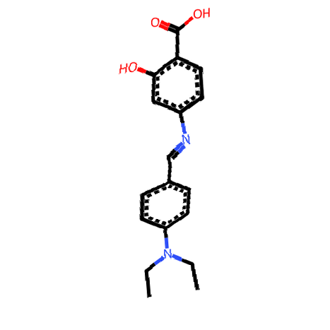 CCN(CC)c1ccc(C=Nc2ccc(C(=O)O)c(O)c2)cc1